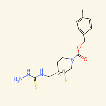 Cc1ccc(COC(=O)N2CC[C@@H](CNC(=S)NN)[C@@H](F)C2)cc1